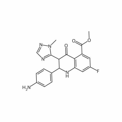 COC(=O)c1cc(F)cc2c1C(=O)C(c1ncnn1C)C(c1ccc(N)cc1)N2